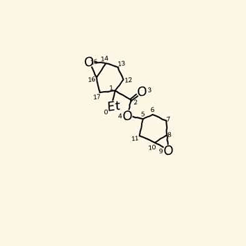 CCC1(C(=O)OC2CCC3OC3C2)CCC2OC2C1